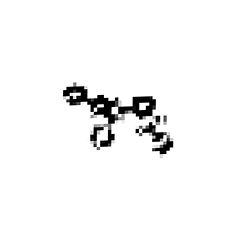 O=C(Nc1cccc(-c2nc(N3CCOCC3)c3sc(-c4cccnc4)cc3n2)c1)c1nccs1